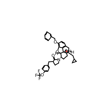 O=C1C(Cc2ccc(OC(F)(F)F)cc2)CCN1[C@H]1CCC2(O)[C@H]3Cc4ccc(OCc5ccccc5)c5c4[C@@]2(CCN3CC2CC2)[C@H]1O5